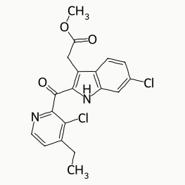 CCc1ccnc(C(=O)c2[nH]c3cc(Cl)ccc3c2CC(=O)OC)c1Cl